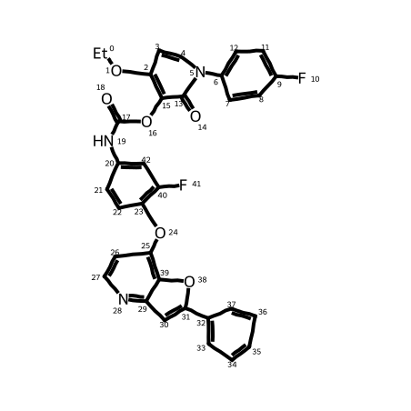 CCOc1ccn(-c2ccc(F)cc2)c(=O)c1OC(=O)Nc1ccc(Oc2ccnc3cc(-c4ccccc4)oc23)c(F)c1